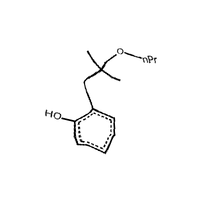 CCCOC(C)(C)Cc1ccccc1O